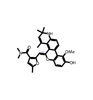 COc1c(O)ccc2c1-c1ccc3c(c1/C(=C/c1oc(C)cc1C(=O)N(C)C)O2)C(C)=CC(C)(C)N3